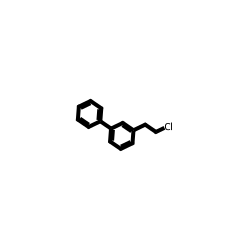 ClCCc1cccc(-c2ccccc2)c1